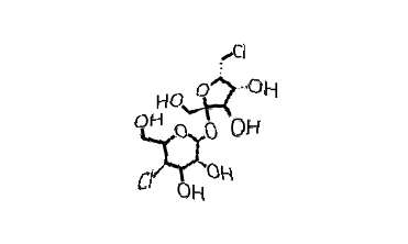 OCC1O[C@@H](O[C@]2(CO)O[C@H](CCl)[C@H](O)C2O)[C@@H](O)C(O)[C@H]1Cl